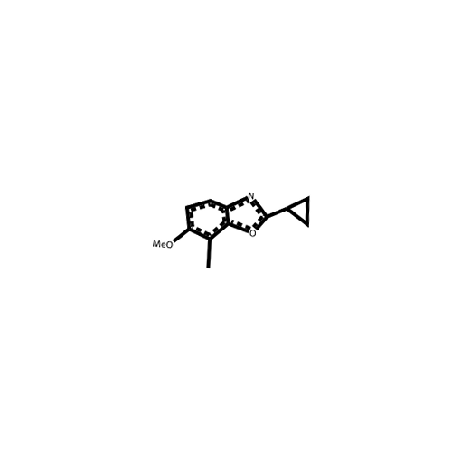 COc1ccc2nc(C3CC3)oc2c1C